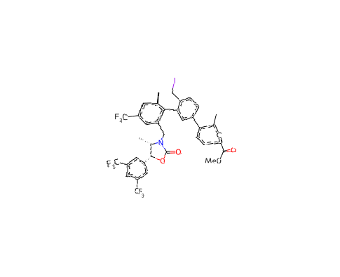 COC(=O)c1ccc(-c2ccc(CI)c(-c3c(C)cc(C(F)(F)F)cc3CN3C(=O)O[C@H](c4cc(C(F)(F)F)cc(C(F)(F)F)c4)[C@@H]3C)c2)c(C)c1